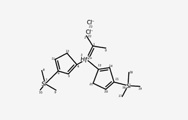 C[C](C)=[Hf+2]([C]1=CC([Si](C)(C)C)=CC1)[C]1=CC([Si](C)(C)C)=CC1.[Cl-].[Cl-]